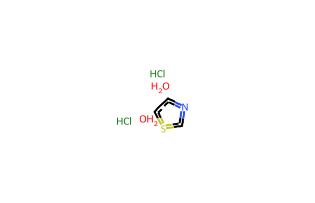 Cl.Cl.O.O.c1cscn1